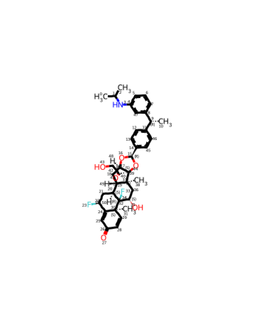 CC(C)Nc1cccc([C@H](C)c2ccc([C@@H]3O[C@@H]4C[C@H]5[C@@H]6C[C@H](F)C7=CC(=O)C=C[C@]7(C)[C@@]6(F)[C@@H](O)C[C@]5(C)[C@]4(C(=O)CO)O3)cc2)c1